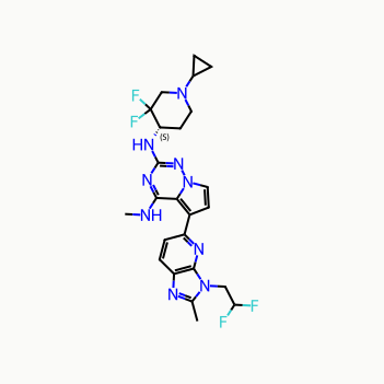 CNc1nc(N[C@H]2CCN(C3CC3)CC2(F)F)nn2ccc(-c3ccc4nc(C)n(CC(F)F)c4n3)c12